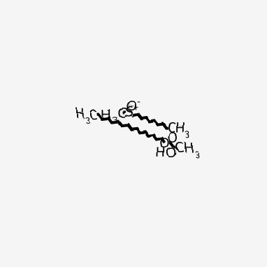 CCCCCCCCCCCCCCCCOC(=O)C(C)O.CCCCCCCCCC[S+](C)[O-]